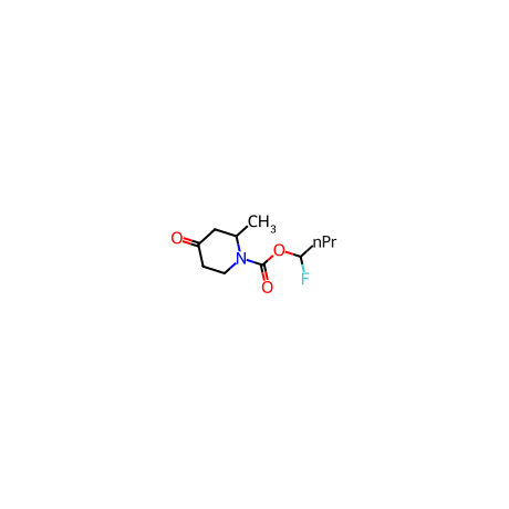 CCCC(F)OC(=O)N1CCC(=O)CC1C